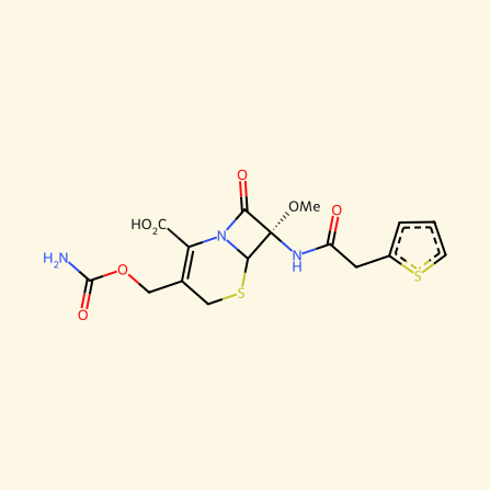 CO[C@@]1(NC(=O)Cc2cccs2)C(=O)N2C(C(=O)O)=C(COC(N)=O)CSC21